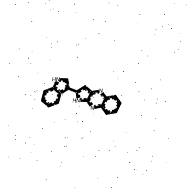 c1ccc2nc3[nH]c(-c4c[nH]c5ccccc45)cc3nc2c1